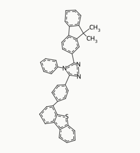 CC1(C)c2ccccc2-c2ccc(-c3nnc(-c4ccc(-c5cccc6c5sc5ccccc56)cc4)n3-c3ccccc3)cc21